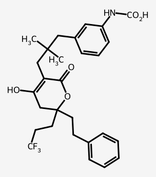 CC(C)(CC1=C(O)CC(CCc2ccccc2)(CCC(F)(F)F)OC1=O)Cc1cccc(NC(=O)O)c1